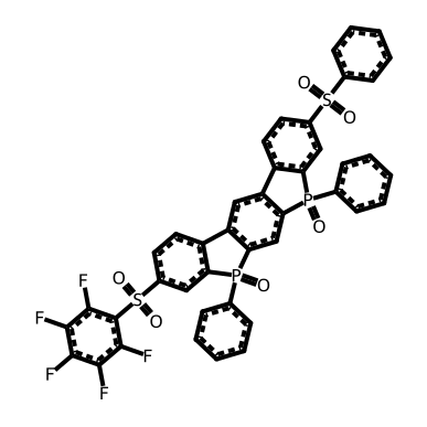 O=P1(c2ccccc2)c2cc(S(=O)(=O)c3ccccc3)ccc2-c2cc3c(cc21)P(=O)(c1ccccc1)c1cc(S(=O)(=O)c2c(F)c(F)c(F)c(F)c2F)ccc1-3